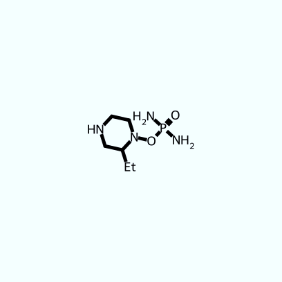 CCC1CNCCN1OP(N)(N)=O